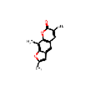 Cc1cc2cc3cc(C)c(=O)oc3c(C)c2o1